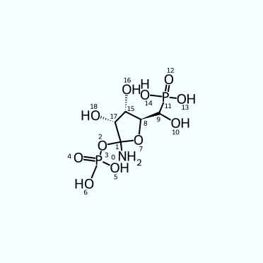 NC1(OP(=O)(O)O)O[C@H](C(O)P(=O)(O)O)[C@@H](O)[C@H]1O